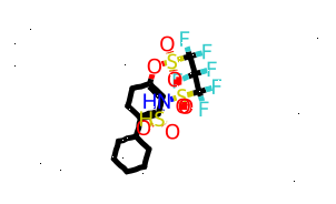 O=[SH](=O)NS(=O)(=O)C(F)(F)C(F)(F)C(F)(F)S(=O)(=O)OC1=CC=C(C2CCCCC2)CC1